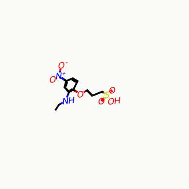 CCNc1cc([N+](=O)[O-])ccc1OCCCS(=O)(=O)O